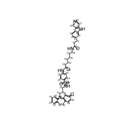 O=C(CCc1ccc2c(c1)[nH]c1ccncc12)NCCCCCCC(=O)Nc1ccc(S(=O)(=O)NCCCN2c3ccccc3CCc3ccc(Cl)cc32)cc1